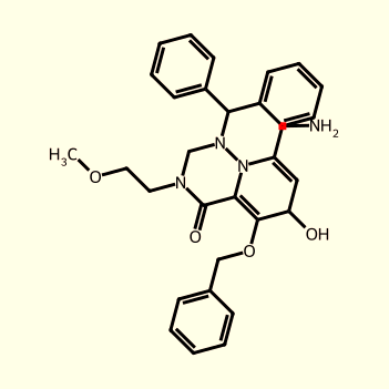 COCCN1CN(C(c2ccccc2)c2ccccc2)N2C(CN)=CC(O)C(OCc3ccccc3)=C2C1=O